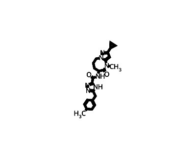 CC1C=CC(Cc2nnc(C(=O)NC3CCCn4nc(C5CC5)cc4N(C)C3=O)[nH]2)=CC1